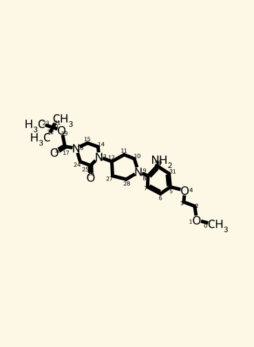 COCCOc1ccc(N2CCC(N3CCN(C(=O)OC(C)(C)C)CC3=O)CC2)c(N)c1